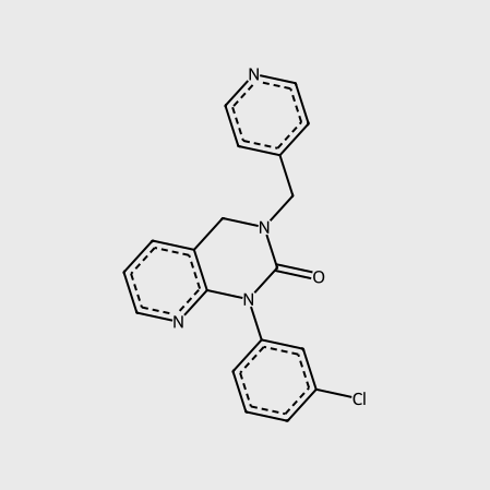 O=C1N(Cc2ccncc2)Cc2cccnc2N1c1cccc(Cl)c1